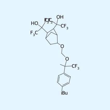 CCC(C)c1ccc(C(C)(OCOC2CC3CC2C(C(O)(C(F)(F)F)C(F)(F)F)C3C(O)(C(F)(F)F)C(F)(F)F)C(F)(F)F)cc1